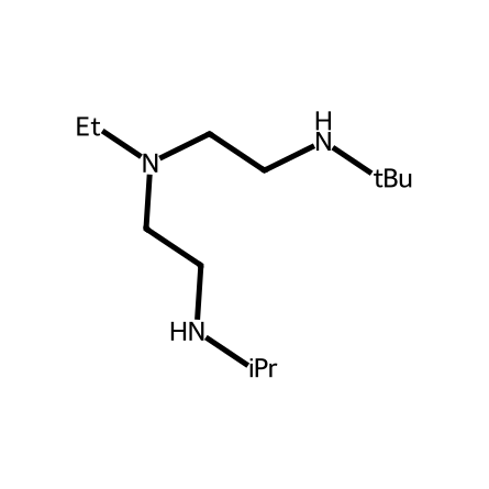 CCN(CCNC(C)C)CCNC(C)(C)C